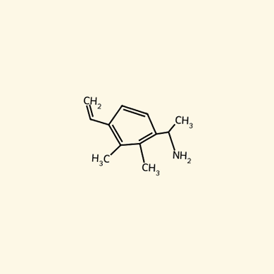 C=Cc1ccc(C(C)N)c(C)c1C